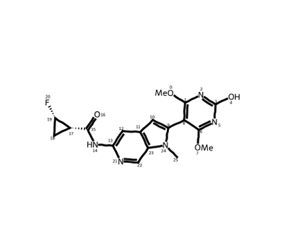 COc1nc(O)nc(OC)c1-c1cc2cc(NC(=O)[C@@H]3C[C@@H]3F)ncc2n1C